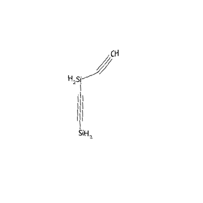 C#C[SiH2]C#C[SiH3]